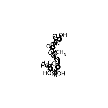 CCc1c2c(nc3ccc(O)cc13)-c1cc3c(c(=O)n1C2)COC(=O)C3(CC)OC(=O)N1CCN(Cc2ccc(-n3c(O)nnc3-c3cc(C(C)C)c(O)cc3O)cc2)CC1